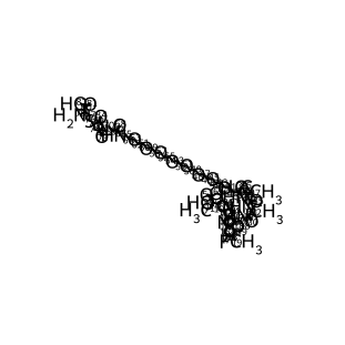 CC[C@@]1(O)C(=O)OCC2=C1C=C1c3nc4cc(F)c(C)c5c4c(c3CN1C2)[C@@H](NC(=O)[C@H](C)NC(=O)[C@@H](NC(=O)CCOCCOCCOCCOCCOCCOCCOCCOCCNC(=O)CCN1C(=O)CC(SCC(N)C(=O)O)C1=O)C(C)C)CC5